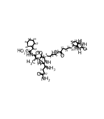 C[C@H](NC(=O)[C@H](CCCCNC(=O)CCCC[C@@H]1SC[C@@H]2NC(=O)N[C@@H]21)NC(=O)[C@@H](N)CCC(N)=O)C(=O)N[C@@H](CC1CCCCC1)C(=O)O